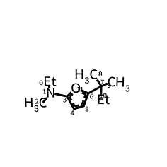 CCN(C)c1ccc(C(C)(C)CC)o1